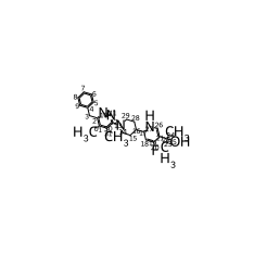 Cc1c(Cc2ccccc2)nnc(N2CCC(C3C=C(F)C(C(C)(C)O)=CN3)CC2)c1C